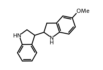 COc1ccc2c(c1)CC(C1CNc3ccccc31)N2